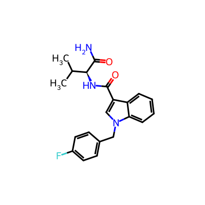 CC(C)[C@H](NC(=O)c1cn(Cc2ccc(F)cc2)c2ccccc12)C(N)=O